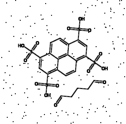 O=CCCCC=O.O=S(=O)(O)c1cc(S(=O)(=O)O)c2ccc3c(S(=O)(=O)O)cc(S(=O)(=O)O)c4ccc1c2c43